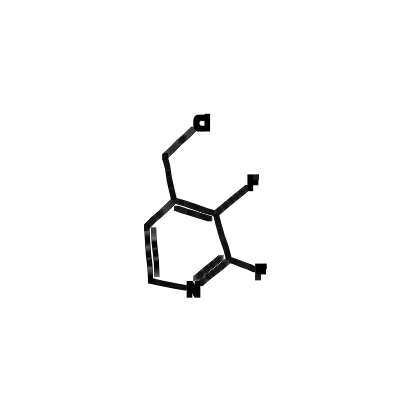 Fc1nccc(CCl)c1F